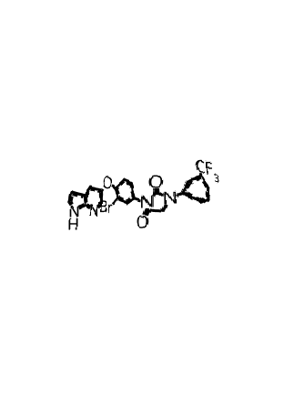 O=C1CN(c2cccc(C(F)(F)F)c2)C(=O)N1c1ccc(Oc2cnc3[nH]ccc3c2)c(Br)c1